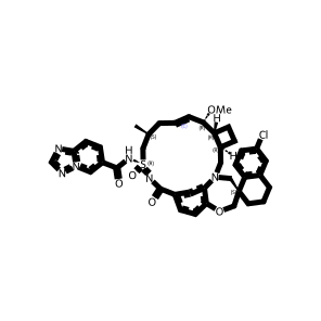 CO[C@H]1/C=C/C[C@H](C)C[S@@](=O)(NC(=O)c2ccc3ncnn3c2)=NC(=O)c2ccc3c(c2)N(C[C@@H]2CC[C@H]21)C[C@@]1(CCCc2cc(Cl)ccc21)CO3